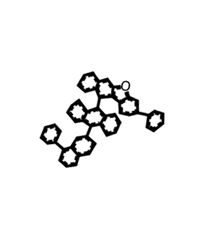 c1ccc(-c2ccc3c(c2)oc2cc4ccccc4c(-c4c5ccccc5c(-c5ccc6cccc(-c7ccccc7)c6c5)c5ccccc45)c23)cc1